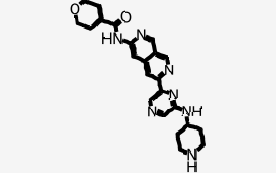 O=C(Nc1cc2cc(-c3cncc(NC4CCNCC4)n3)ncc2cn1)C1CCOCC1